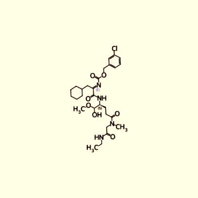 CCNC(=O)CN(C)C(=O)CC[C@H](NC(=O)/C(CC1CCCCC1)=N/C(=O)OCc1cccc(Cl)c1)C(O)OC